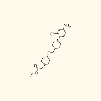 CCOC(=O)CN1CCC(OCC2CCN(c3ccc(N)cc3Cl)CC2)CC1